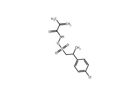 C=C(C)C(=O)NOS(=O)(=O)CC(C)c1ccc(Cl)cc1